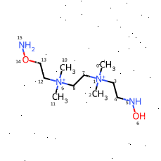 C[N+](C)(CCNO)CC[N+](C)(C)CCON